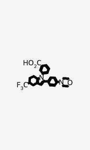 O=C(O)c1cccc(-n2c(-c3ccc(N4CCOCC4)cc3)cc3c2CCC(C(F)(F)F)C3)c1